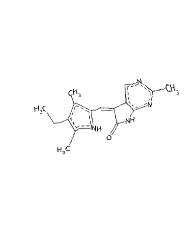 CCc1c(C)[nH]c(C=C2C(=O)Nc3nc(C)ncc32)c1C